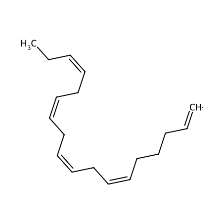 [CH]=CCCC/C=C\C/C=C\C/C=C\C/C=C\CC